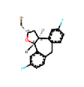 Fc1ccc2c(c1)[C@@H]1C[C@@H](CBr)O[C@H]1c1cc(F)ccc1C2